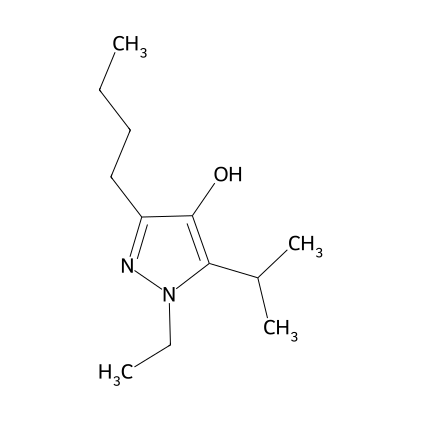 CCCCc1nn(CC)c(C(C)C)c1O